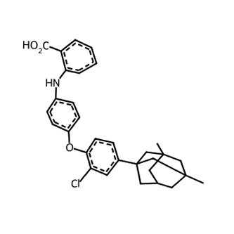 CC12CC3CC(C)(C1)CC(c1ccc(Oc4ccc(Nc5ccccc5C(=O)O)cc4)c(Cl)c1)(C3)C2